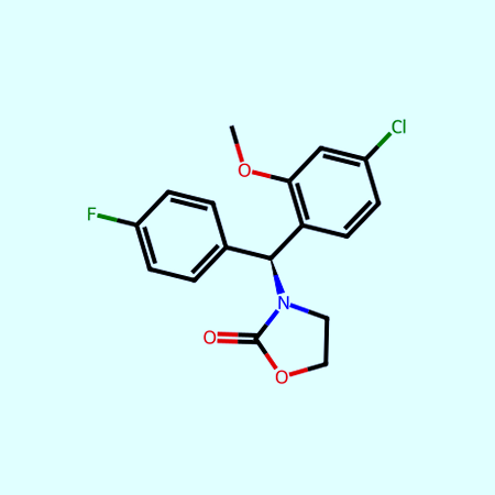 COc1cc(Cl)ccc1[C@H](c1ccc(F)cc1)N1CCOC1=O